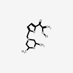 C=C(OCC)C(=O)c1ccc(CN2CC(C)OC(C)C2)o1